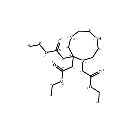 CCOC(=O)CN1CCNCCNCC1(CC(=O)OCC)CC(=O)OCC